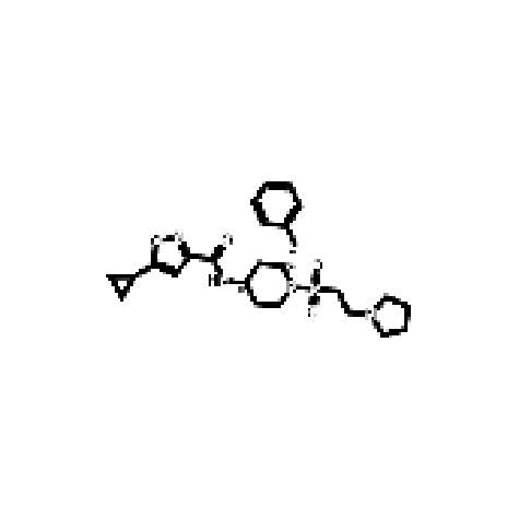 O=C(N[C@@H]1CCN(S(=O)(=O)CCN2CCCC2)[C@@H](Cc2ccccc2)C1)c1cc(C2CC2)on1